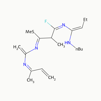 C=C/C(C)=N\C(=C)/N=C(\SC)C(C)/C(F)=N\C(=C/CC)NCCCC